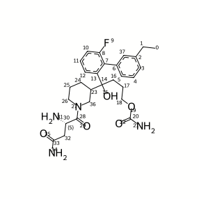 CCc1cccc(-c2c(F)cccc2C(O)(CCCOC(N)=O)C2CCCN(C(=O)[C@@H](N)CC(N)=O)C2)c1